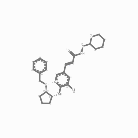 O=C(/C=C/c1cnc(N[C@@H]2CCC[C@H]2OCc2ccccc2)c(Cl)c1)NOC1CCCCO1